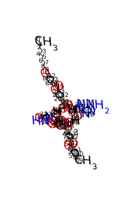 CCCCCCCCCCOc1ccc(C(=O)Oc2ccc(CSP3(=O)OC[C@H]4O[C@@H](n5ccc(=O)[nH]c5=O)[C@H](OC)[C@@H]4OP(=O)(SCc4ccc(OC(=O)c5ccc(C)cc5)cc4)OC[C@@H]4C[C@@H](O3)[C@H](n3cnc5c(N)ncnc53)O4)cc2)cc1